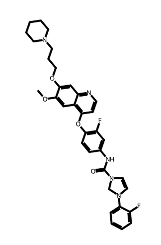 COc1cc2c(Oc3ccc(NC(=O)N4C=CN(c5ccccc5F)C4)cc3F)ccnc2cc1OCCCN1CCCCC1